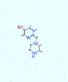 Brc1cnc(CN2CCNCC2)nc1